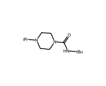 CC(C)N1CCN(C(=O)NC(C)(C)C)CC1